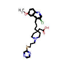 COc1ccc2ncc(Cl)c(CCCC3(CC(=O)O)CCN(CCCSc4cnccn4)CC3)c2c1